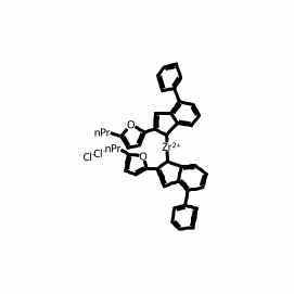 CCCc1ccc(C2=Cc3c(-c4ccccc4)cccc3[CH]2[Zr+2][CH]2C(c3ccc(CCC)o3)=Cc3c(-c4ccccc4)cccc32)o1.[Cl-].[Cl-]